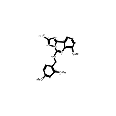 COc1ccc(CNc2nc3c(OC)cccc3c3nc(C=O)nn23)c(OC)c1